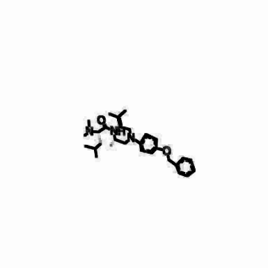 CC(C)=CCN(C[C@H](C)NC(=O)[C@H](CC(C)C)N(C)C)c1ccc(OCc2ccccc2)cc1